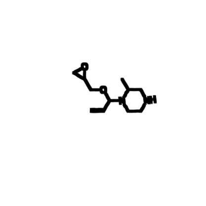 C=CC(OCC1CO1)N1CCNCC1C